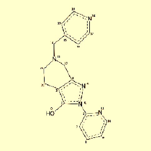 Oc1c2c(nn1-c1ccccn1)CN(Cc1ccncc1)CC2